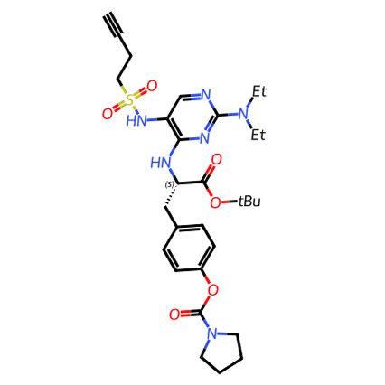 C#CCCS(=O)(=O)Nc1cnc(N(CC)CC)nc1N[C@@H](Cc1ccc(OC(=O)N2CCCC2)cc1)C(=O)OC(C)(C)C